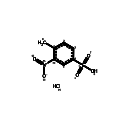 Cc1ccc(S(=O)(=O)O)cc1[N+](=O)[O-].Cl